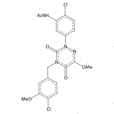 COc1cc(Cn2c(=O)c(OC)nn(-c3ccc(Cl)c(NC(C)=O)c3)c2=O)ccc1Cl